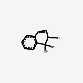 OC1C=Cc2ccccc2C1(O)Br